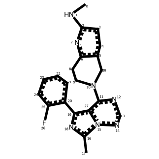 CNc1ccc2c(n1)CCN(c1ncnn3c(C)nc(-c4ccccc4F)c13)C2